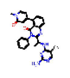 CC(Nc1nc(N)ncc1C#N)c1nc2cccc(-c3ccn(C)c(=O)c3)c2c(=O)n1-c1ccccc1